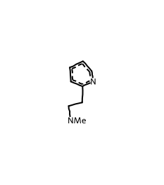 [CH2]NCCc1ccccn1